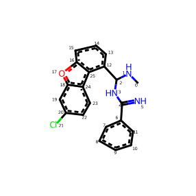 CNC(NC(=N)c1ccccc1)c1cccc2oc3cc(Cl)ccc3c12